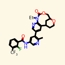 CCN1C(=O)OCC2CC(CCO2)c2cc(-c3cc(NC(=O)c4cccc(C(F)(F)F)c4F)cnc3C)cnc21